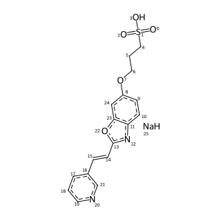 O=S(=O)(O)CCCOc1ccc2nc(C=Cc3cccnc3)oc2c1.[NaH]